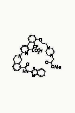 COC(=O)CN1CCN(CCOc2cccc(-c3ccc(N4CCc5cccc(C(=O)Nc6nc7ccccc7s6)c5C4)nc3C(=O)O)c2C(F)(F)F)CC1